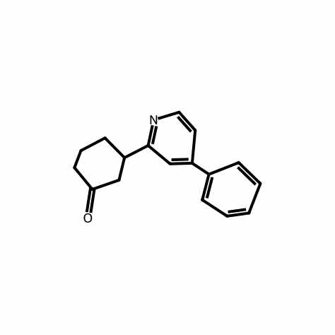 O=C1CCCC(c2cc(-c3ccccc3)ccn2)C1